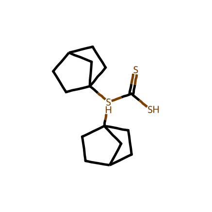 S=C(S)[SH](C12CCC(CC1)C2)C12CCC(CC1)C2